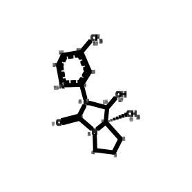 C[C@]12CCCN1C(=O)N(c1cc(C(F)(F)F)ccn1)C2O